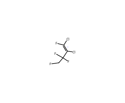 FCC(F)(F)/C(Cl)=C(\F)Cl